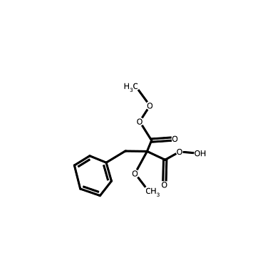 COOC(=O)C(Cc1ccccc1)(OC)C(=O)OO